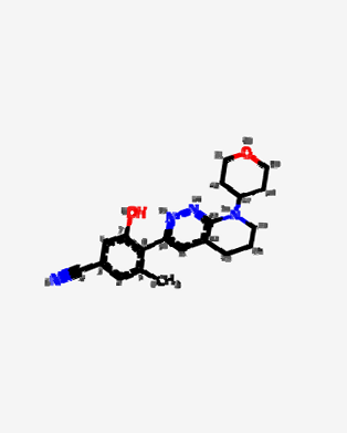 Cc1cc(C#N)cc(O)c1-c1cc2c(nn1)N(C1CCOCC1)CCC2